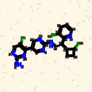 Nc1ncc(F)c(-c2cnc(NC[C@H](c3ncccc3F)C3CC[C@@H]3F)nc2)n1